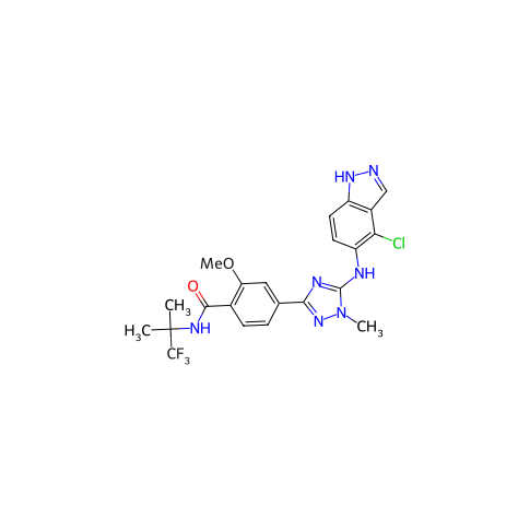 COc1cc(-c2nc(Nc3ccc4[nH]ncc4c3Cl)n(C)n2)ccc1C(=O)NC(C)(C)C(F)(F)F